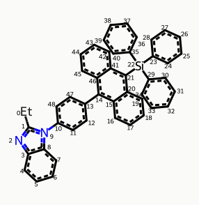 CCc1nc2ccccc2n1-c1ccc(-c2c3ccccc3c([Si](c3ccccc3)(c3ccccc3)c3ccccc3)c3ccccc23)cc1